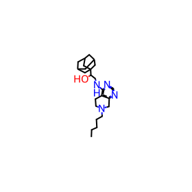 CCCCCN1CCc2c(ncnc2NCC(O)C23CC4CC(CC(C4)C2)C3)C1